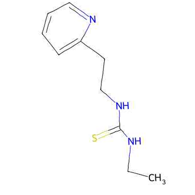 CCNC(=S)NCCc1ccccn1